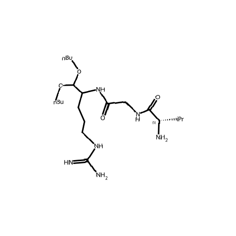 CCCCOC(OCCCC)C(CCCNC(=N)N)NC(=O)CNC(=O)[C@@H](N)C(C)C